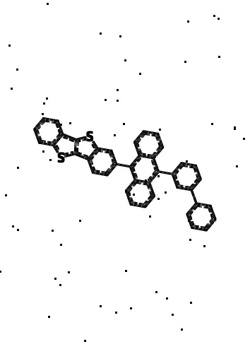 c1ccc(-c2cccc(-c3c4ccccc4c(-c4ccc5c(c4)sc4c6ccccc6sc54)c4ccccc34)c2)cc1